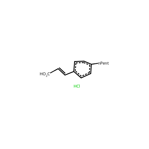 CCCCCc1ccc(C=CC(=O)O)cc1.Cl